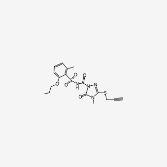 C#CCSc1nn(C(=O)NS(=O)(=O)c2c(C)cccc2OCCC)c(=O)n1C